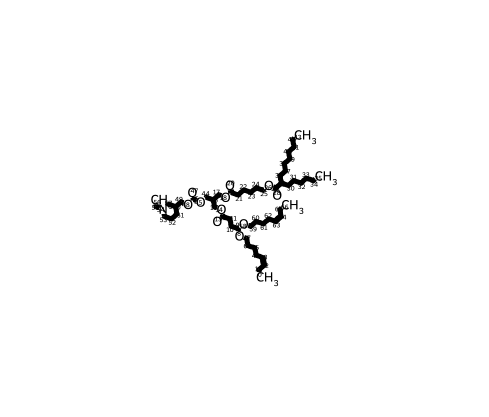 CC/C=C\CCCCOC(CCC(=O)OCC(COC(=O)CCCCCOC(=O)C(CCCCCC)CCCCCCCC)COC(=O)OCC1CCCN(CC)C1)OCCCC/C=C\CC